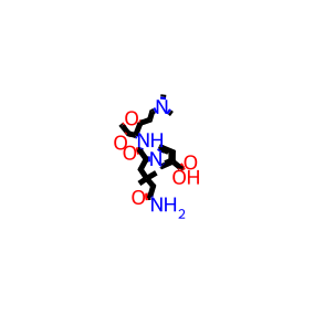 CN(C)CCC1OCC(=O)C1NC(=O)C(CC(C)(C)CC(N)=O)n1ccc(C(=O)O)c1